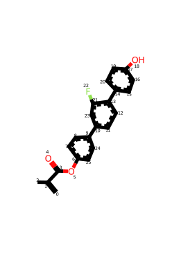 C=C(C)C(=O)Oc1ccc(-c2ccc(-c3ccc(O)cc3)c(F)c2)cc1